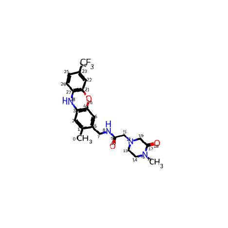 Cc1cc2c(cc1CNC(=O)CN1CCN(C)C(=O)C1)Oc1cc(C(F)(F)F)ccc1N2